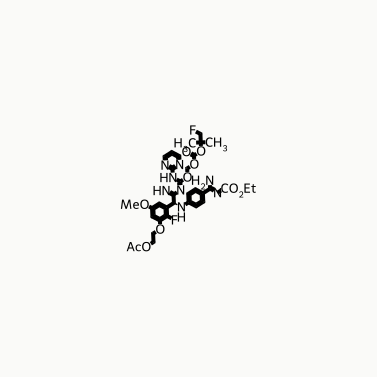 CCOC(=O)/N=C(\N)c1ccc(N[C@@H](C(=N)/N=C(\Nc2ncccn2)OCOC(=O)OC(C)(C)CF)c2cc(OC)cc(OCCOC(C)=O)c2F)cc1